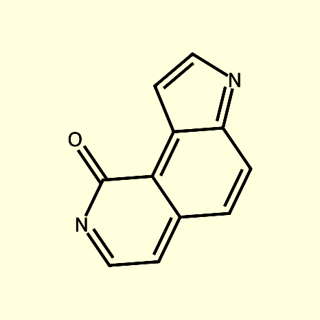 O=C1N=CC=c2ccc3c(c21)C=CN=3